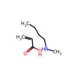 C=CC(=O)O.CCCCNC